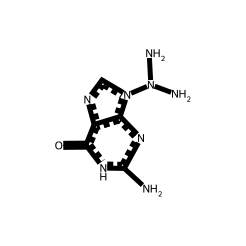 Nc1nc2c(ncn2N(N)N)c(=O)[nH]1